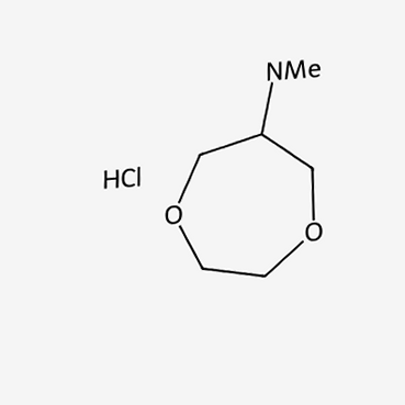 CNC1COCCOC1.Cl